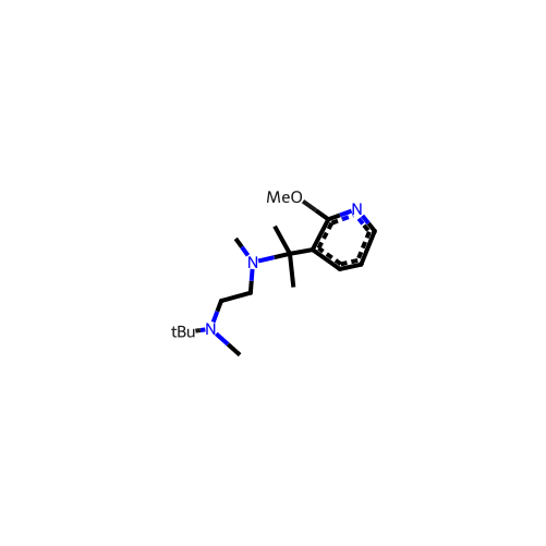 COc1ncccc1C(C)(C)N(C)CCN(C)C(C)(C)C